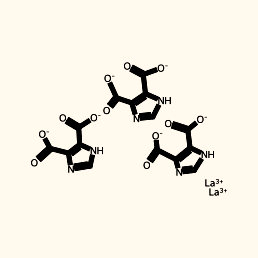 O=C([O-])c1nc[nH]c1C(=O)[O-].O=C([O-])c1nc[nH]c1C(=O)[O-].O=C([O-])c1nc[nH]c1C(=O)[O-].[La+3].[La+3]